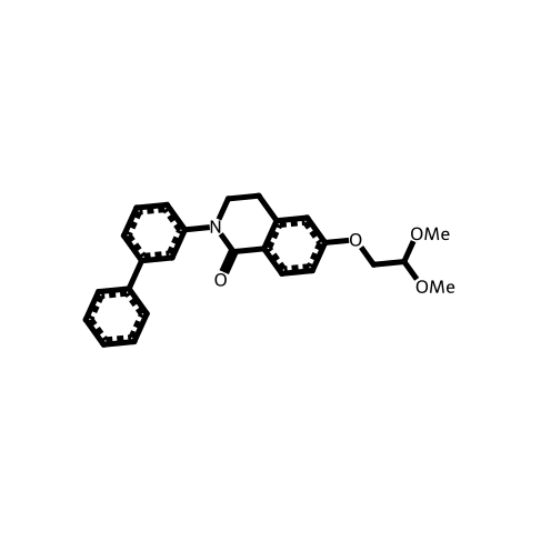 COC(COc1ccc2c(c1)CCN(c1cccc(-c3ccccc3)c1)C2=O)OC